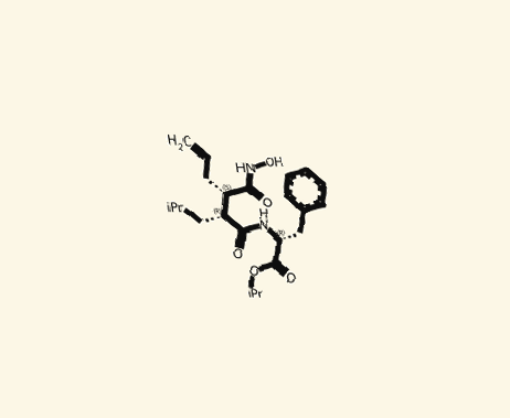 C=CC[C@H](C(=O)NO)[C@@H](CC(C)C)C(=O)N[C@H](Cc1ccccc1)C(=O)OC(C)C